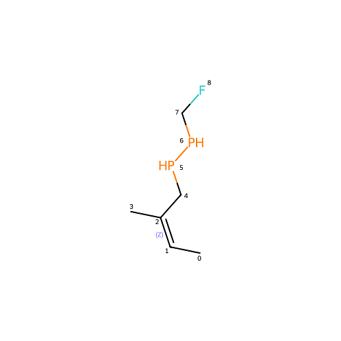 C/C=C(/C)CPPCF